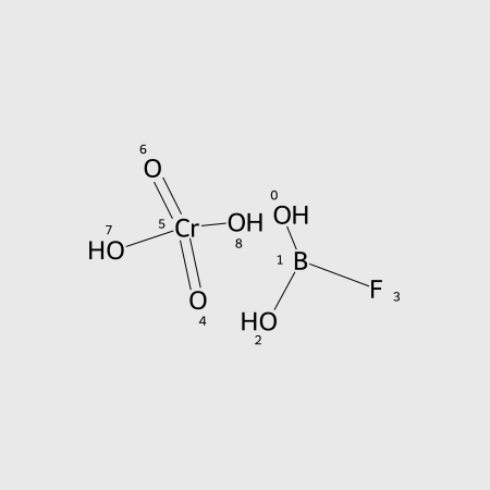 OB(O)F.[O]=[Cr](=[O])([OH])[OH]